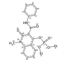 CCOP(=O)(OCC)Oc1c(C(=O)Nc2ccccc2)c(=O)n(C)c2ccccc12